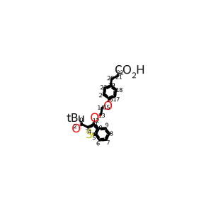 CC(C)(C)C(=O)c1sc2ccccc2c1OCCOc1ccc(CCC(=O)O)cc1